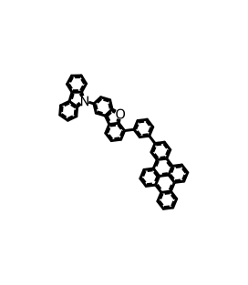 c1cc(-c2ccc3c(c2)c2cccc4c5ccccc5c5cccc3c5c42)cc(-c2cccc3c2oc2ccc(-n4c5ccccc5c5ccccc54)cc23)c1